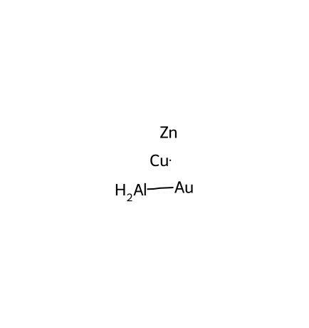 [AlH2][Au].[Cu].[Zn]